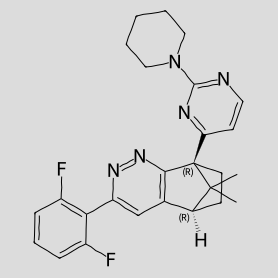 CC1(C)[C@H]2CC[C@@]1(c1ccnc(N3CCCCC3)n1)c1nnc(-c3c(F)cccc3F)cc12